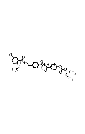 CC[C@@H](C)OC(=O)Oc1ccc(C(=O)NS(=O)(=O)c2ccc(CCNC(=O)c3cc(Cl)ccc3OC)cc2)cn1